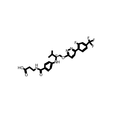 CC(C)[C@@H](COc1ccc(-c2ccc(C(F)(F)F)cc2F)nn1)Nc1ccc(C(=O)NCCC(=O)O)cc1